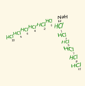 Cl.Cl.Cl.Cl.Cl.Cl.Cl.Cl.Cl.Cl.Cl.Cl.[NaH]